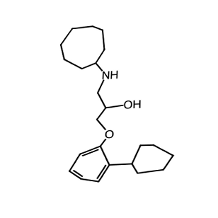 OC(CNC1CCCCCCC1)COc1ccccc1C1CCCCC1